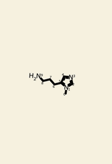 Cn1cncc1CCCN